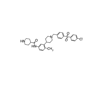 Cc1ccc(NC(=O)C2CCNCC2)cc1C1CCN(Cc2ccc(S(=O)(=O)c3ccc(Cl)cc3)cc2)CC1